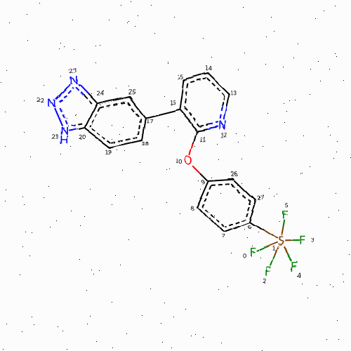 FS(F)(F)(F)(F)c1ccc(Oc2ncccc2-c2ccc3[nH]nnc3c2)cc1